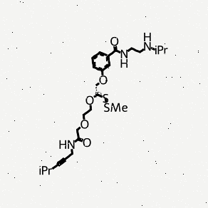 CSS[C@@H](COc1cccc(C(=O)NCCNC(C)C)c1)OCCOCC(=O)NCC#CC(C)C